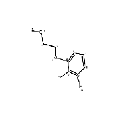 COCCOc1cccc(F)c1C